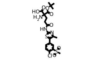 Cc1nc(NC(=O)CCC(N)(C(=O)O)C(=O)OC(C)(C)C)sc1-c1ccc(Cl)c(S(C)(=O)=O)c1